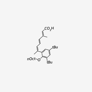 CCCCCCCCOc1c(\C(C)=C/C=C/C(C)=C/C(=O)O)cc(C(C)(C)C)cc1C(C)(C)C